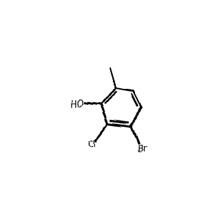 Cc1ccc(Br)c(Cl)c1O